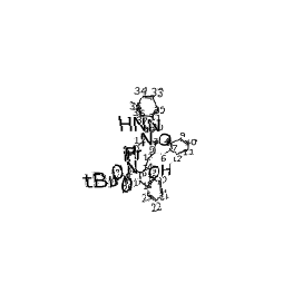 CC(C)CN(C(=O)[C@H](Cc1ccccc1)C[C@H](O)[C@H](Cc1ccccc1)NC(=O)OC(C)(C)C)c1nc2ccccc2[nH]1